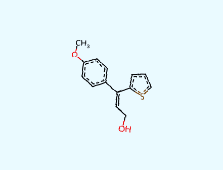 COc1ccc(C(=CCO)c2cccs2)cc1